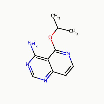 CC(C)Oc1nccc2ncnc(N)c12